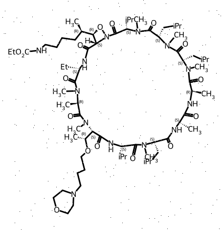 CCOC(=O)NCCCC[C@@H](C)[C@H]1ON2C(=O)[C@H](C(C)C)N(C)C(=O)[C@H](CC(C)C)N(C)C(=O)[C@H](CC(C)C)N(C)C(=O)[C@@H](C)NC(=O)[C@H](C)NC(=O)[C@H](CC(C)C)N(C)C(=O)[C@H](C(C)C)NC(=O)[C@H]([C@@H](C)OCCCCN3CCOCC3)N(C)C(=O)[C@@H](C)N(C)C(=O)[C@H](CC)NC(=O)[C@H]12